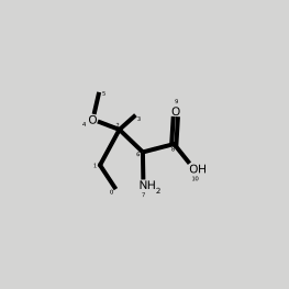 CCC(C)(OC)C(N)C(=O)O